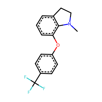 CN1CCc2cccc(Oc3ccc(C(F)(F)F)cc3)c21